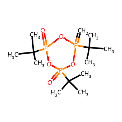 C=P1(C(C)(C)C)OP(=O)(C(C)(C)C)OP(=O)(C(C)(C)C)O1